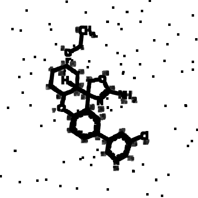 CCO[C@H]1CCC2Oc3ccc(-c4cncc(Cl)c4)cc3C3(COC(N)=N3)[C@H]2C1